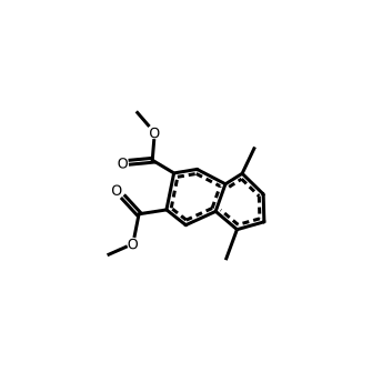 COC(=O)c1cc2c(C)ccc(C)c2cc1C(=O)OC